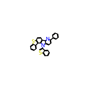 c1ccc(-c2ccc3c(n2)c2ccc4sc5ccccc5c4c2n3-c2csc3ccccc23)cc1